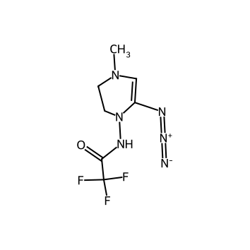 CN1C=C(N=[N+]=[N-])N(NC(=O)C(F)(F)F)CC1